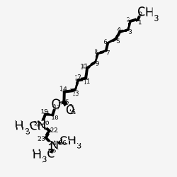 CCCCCCCCCCCCCCCC(=O)OCCN(C)CCN(C)C